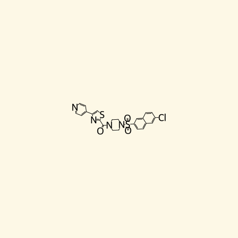 O=C(c1nc(-c2ccncc2)cs1)N1CCN(S(=O)(=O)c2ccc3cc(Cl)ccc3c2)CC1